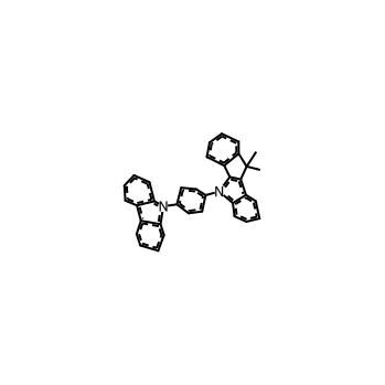 CC1(C)c2ccccc2-c2c1c1ccccc1n2-c1ccc(-n2c3ccccc3c3ccccc32)cc1